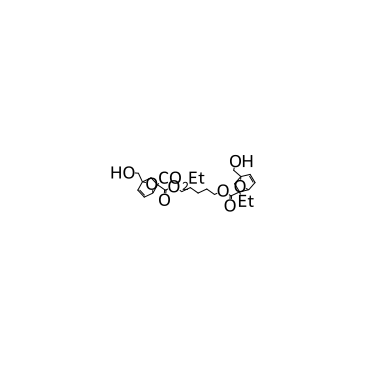 CCOC(=O)C1(C(=O)OCCCCCOC(=O)C2(CC)CC3(CO)C=CC2O3)CC2(CO)C=CC1O2